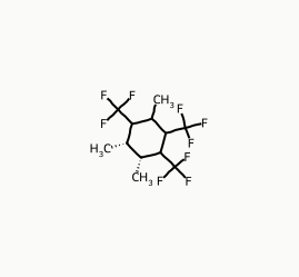 CC1C(C(F)(F)F)C(C(F)(F)F)[C@H](C)[C@H](C)C1C(F)(F)F